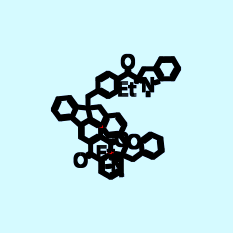 CCC(Cc1ccccc1)(C(=O)c1ccc(CC2(Cc3ccc(C(=O)C(CC)(Cc4ccccc4)N(C)C)cc3)c3ccccc3-c3cc4c(cc32)C(=O)c2ccccc2C4=O)cc1)N(C)C